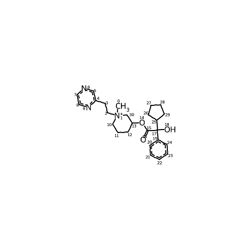 C[N+]1(CCc2cnccn2)CCCC(OC(=O)C(O)(c2ccccc2)C2CCCC2)C1